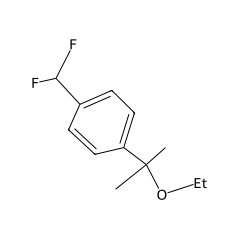 CCOC(C)(C)c1ccc(C(F)F)cc1